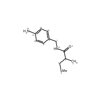 CSCC(C)C(=O)NCc1ccc(N)cc1